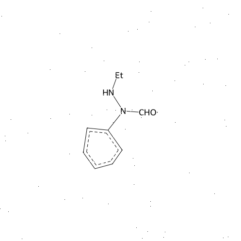 CCNN([C]=O)c1ccccc1